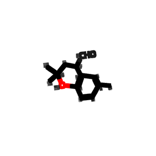 Cc1ccc2c(c1)C(C=O)CC(C)(C)O2